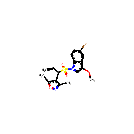 C=CC(c1c(C)noc1C)S(=O)(=O)n1cc(OC)c2cc(Br)ccc21